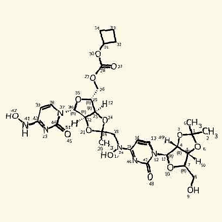 CC1(C)O[C@@H]2[C@H](O1)[C@@H](CO)O[C@H]2n1ccc(N(O)CC2(C)O[C@@H]3[C@H](O2)[C@@H](COC(=O)OC2CCC2)O[C@H]3n2ccc(NO)nc2=O)nc1=O